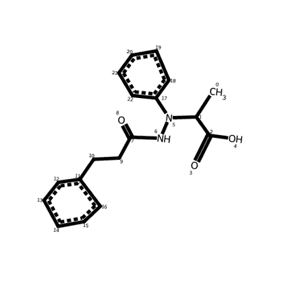 CC(C(=O)O)N(NC(=O)CCc1ccccc1)c1ccccc1